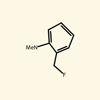 CNc1ccccc1CF